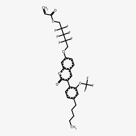 C=CC(=O)OCC(F)(F)C(F)(F)C(F)(F)COc1ccc2cc(-c3ccc(CCCCC)cc3OC(F)(F)F)c(=O)oc2c1